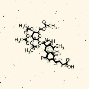 CC(=O)OC[C@H]1O[C@@H](Oc2n[nH]c(C(C)C)c2Cc2ccc(/C=C/CC(=O)O)cc2F)[C@H](OC(C)=O)[C@@H](OC(C)=O)[C@H]1OC(C)=O